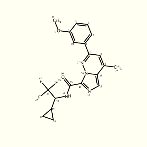 COc1cccc(-c2cc(C)c3cnc(C(=O)NC(C4CC4)C(F)(F)F)n3n2)c1